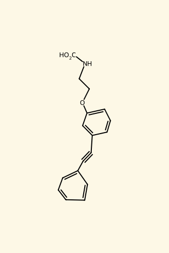 O=C(O)NCCOc1cccc(C#Cc2ccccc2)c1